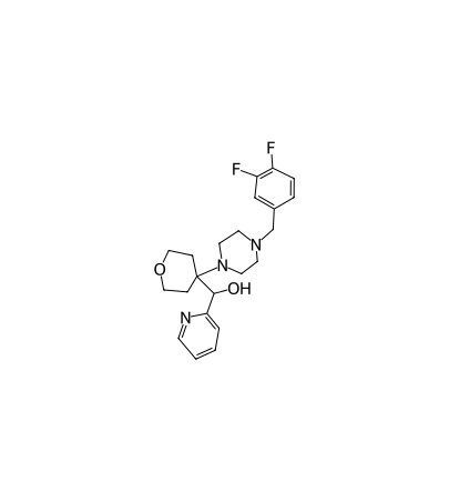 OC(c1ccccn1)C1(N2CCN(Cc3ccc(F)c(F)c3)CC2)CCOCC1